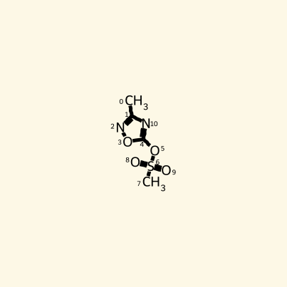 Cc1noc(OS(C)(=O)=O)n1